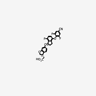 N#Cc1cc(F)c(Oc2ccc(F)c3c2CC[C@H]3Oc2ccc3c(c2)OC[C@H]3CC(=O)O)c(F)c1